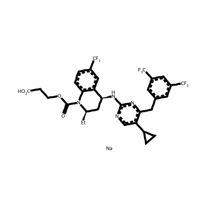 CC[C@@H]1C[C@H](Nc2ncc(C3CC3)c(Cc3cc(C(F)(F)F)cc(C(F)(F)F)c3)n2)c2cc(C(F)(F)F)ccc2N1C(=O)OCCC(=O)O.[Na]